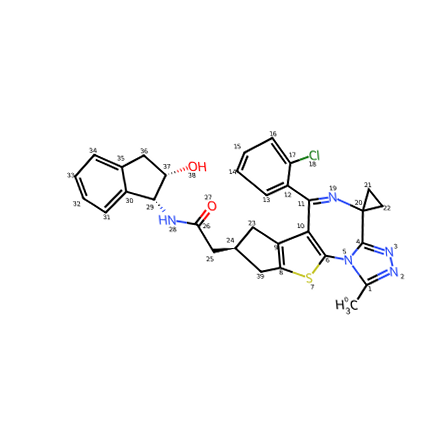 Cc1nnc2n1-c1sc3c(c1C(c1ccccc1Cl)=NC21CC1)C[C@H](CC(=O)N[C@@H]1c2ccccc2C[C@@H]1O)C3